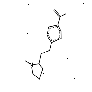 C=C(C)c1ccc(CCC2CCCN2C)cc1